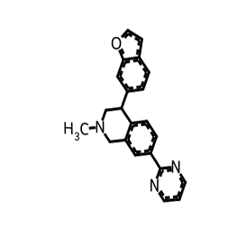 CN1Cc2cc(-c3ncccn3)ccc2C(c2ccc3ccoc3c2)C1